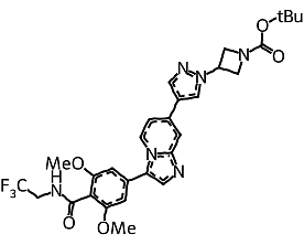 COc1cc(-c2cnc3cc(-c4cnn(C5CN(C(=O)OC(C)(C)C)C5)c4)ccn23)cc(OC)c1C(=O)NCC(F)(F)F